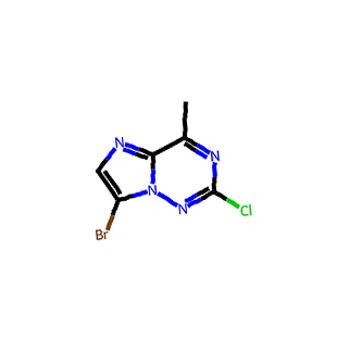 Cc1nc(Cl)nn2c(Br)cnc12